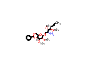 CC=CC[C@@H](OCCCC)[C@@H](OCCCC)[C@@H](N)CO[C@H]1OC2COC(c3ccccc3)O[C@@H]2C(OCCCC)C1OCCCC